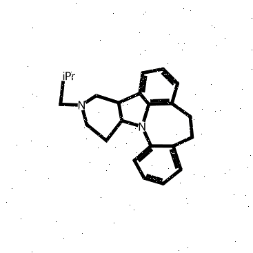 CC(C)CN1CCC2C(C1)c1cccc3c1N2c1ccccc1CC3